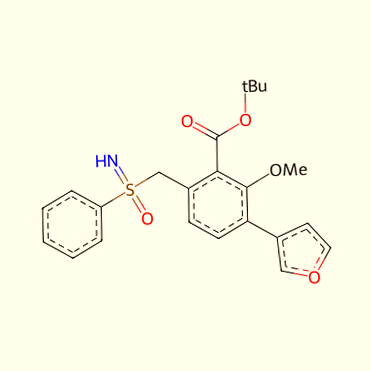 COc1c(-c2ccoc2)ccc(CS(=N)(=O)c2ccccc2)c1C(=O)OC(C)(C)C